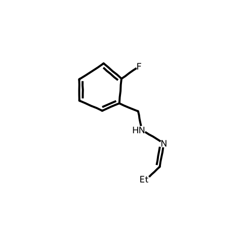 CC/C=N\NCc1ccccc1F